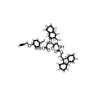 C#CCOc1ccc(C[C@H](NC(=O)[C@H](Cc2ccc3ccccc3c2)NC(=O)OCC2c3ccccc3-c3ccccc32)C(=O)OC)cc1